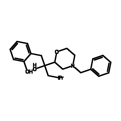 CC(C)CC(O)(Cc1ccccc1O)C1CN(Cc2ccccc2)CCO1